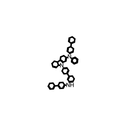 C1=CCCC(C2=CC=C(NC3=CCCC(C4=CC=C(N5C6=C(CCC(N(C7=CCC(C8=CCCC=C8)C=C7)c7ccccc7)=C6)C6CCC=CC65)CC4)=C3)CC2)=C1